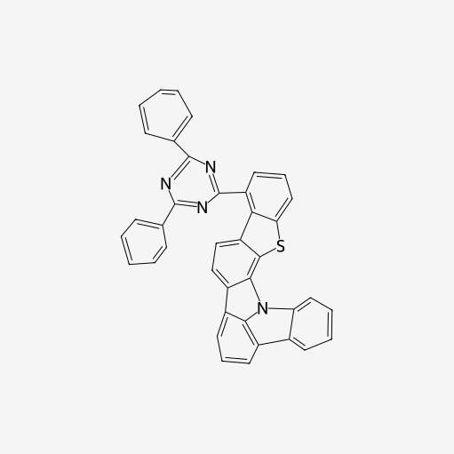 c1ccc(-c2nc(-c3ccccc3)nc(-c3cccc4sc5c(ccc6c7cccc8c9ccccc9n(c87)c65)c34)n2)cc1